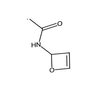 [CH2]C(=O)NC1C=CO1